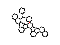 c1ccc(N(c2ccccc2)c2c3ccccc3cc3c4cccc5c6c7c8cccc9c%10c%11ccccc%11ccc%10n(c7ccc6n(c23)c45)c98)cc1